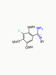 CNc1c(/C(N)=N\C(C)C)cc(OC)c(OC)c1F